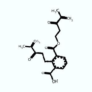 C=C(C)C(=O)CCOC(=O)c1cccc(C(=O)O)c1CCC(=O)C(=C)C